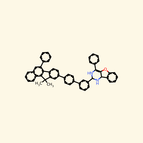 CC1(C)c2cc(-c3ccc(-c4cccc(C5NC(c6ccccc6)=C6Oc7ccccc7C6N5)c4)cc3)ccc2-c2c(-c3ccccc3)cc3ccccc3c21